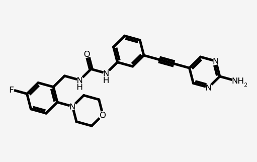 Nc1ncc(C#Cc2cccc(NC(=O)NCc3cc(F)ccc3N3CCOCC3)c2)cn1